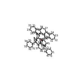 c1ccc(-c2cccc(-n3c4ccccc4c4ccc5c6ccccc6n(-c6nc(-c7ccccc7)c7ccccc7n6)c5c43)c2)cc1